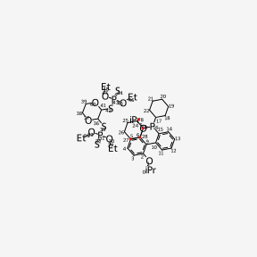 CC(C)Oc1cccc(OC(C)C)c1-c1ccccc1P(C1CCCCC1)C1CCCCC1.CCOP(=S)(OCC)SC1OCCOC1SP(=S)(OCC)OCC